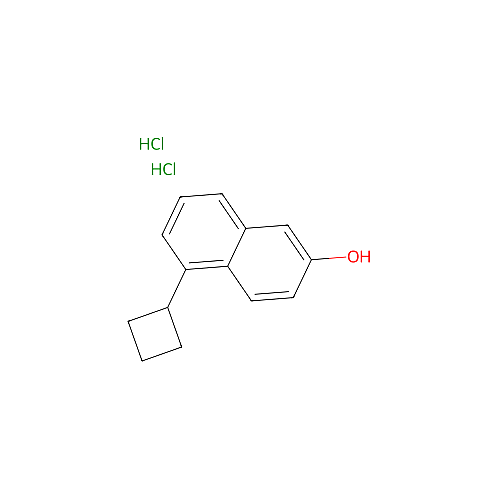 Cl.Cl.Oc1ccc2c(C3CCC3)cccc2c1